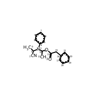 CC(C#N)N(c1ccccc1)C(C)OC(=O)Cc1ccccc1